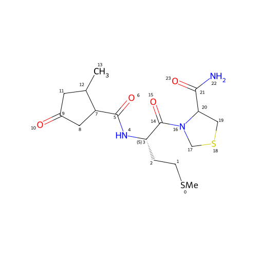 CSCC[C@H](NC(=O)C1CC(=O)CC1C)C(=O)N1CSCC1C(N)=O